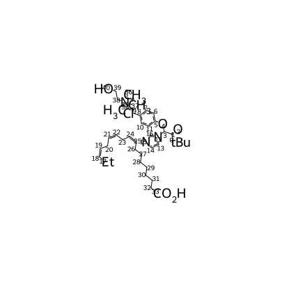 CC(C)(C)C(=O)C(Oc1ccc(Cl)cc1)n1ccnc1.CC/C=C\C/C=C\C/C=C\CCCCCCCC(=O)O.C[N+](C)(C)CCO